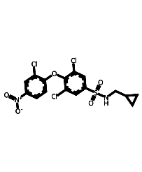 O=[N+]([O-])c1ccc(Oc2c(Cl)cc(S(=O)(=O)NCC3CC3)cc2Cl)c(Cl)c1